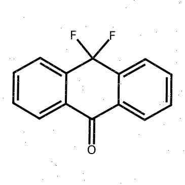 O=C1c2ccccc2C(F)(F)c2ccccc21